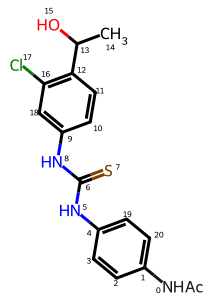 CC(=O)Nc1ccc(NC(=S)Nc2ccc(C(C)O)c(Cl)c2)cc1